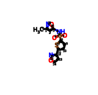 Cc1cc(NS(=O)(=O)c2ccc(-c3ccon3)s2)on1